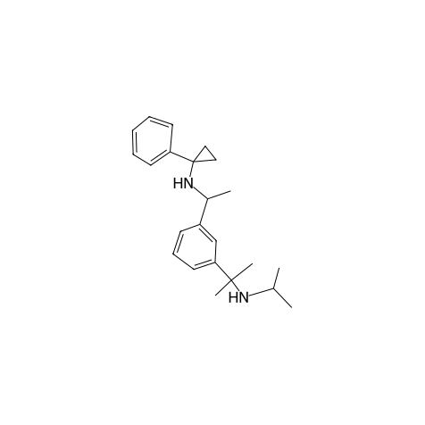 CC(C)NC(C)(C)c1cccc(C(C)NC2(c3ccccc3)CC2)c1